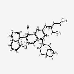 OCC[C@@H](CO)Oc1nc(N2CCC3CNC(C3)C2)c2cnc(-c3cccc4cccc(Cl)c34)c(F)c2n1